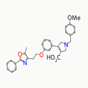 COc1ccc(CN2CC(C(=O)O)=C(c3cccc(OCCc4nc(-c5ccccc5)oc4C)c3)C2)cc1